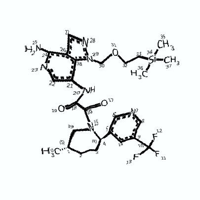 C[C@H]1CC[C@H](c2cncc(C(F)(F)F)c2)N(C(=O)C(=O)Nc2cnc(N)c3cnn(COCC[Si](C)(C)C)c23)C1